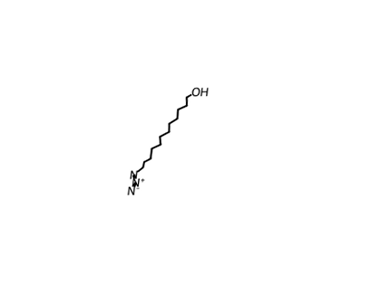 [N-]=[N+]=NCCCCCCCCCCCCO